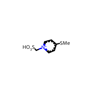 [CH2]Sc1cc[n+](CS(=O)(=O)O)cc1